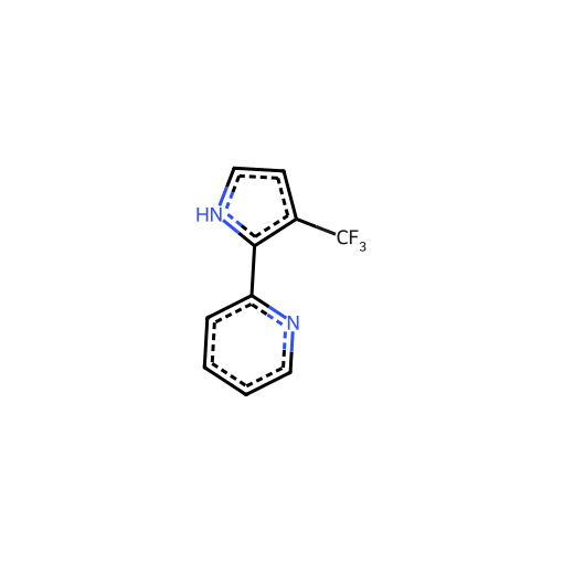 FC(F)(F)c1cc[nH]c1-c1ccccn1